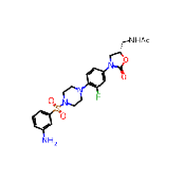 CC(=O)NC[C@H]1CN(c2ccc(N3CCN(S(=O)(=O)c4cccc(N)c4)CC3)c(F)c2)C(=O)O1